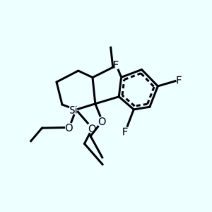 CCOC1(c2c(F)cc(F)cc2F)C(CC)CCC[Si]1(OCC)OCC